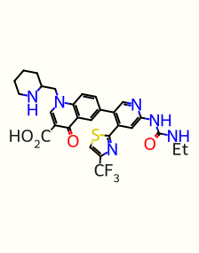 CCNC(=O)Nc1cc(-c2nc(C(F)(F)F)cs2)c(-c2ccc3c(c2)c(=O)c(C(=O)O)cn3CC2CCCCN2)cn1